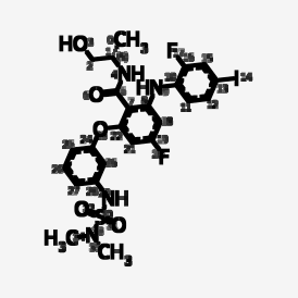 C[C@@H](CO)NC(=O)c1c(Nc2ccc(I)cc2F)cc(F)cc1Oc1cccc(NS(=O)(=O)N(C)C)c1